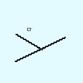 CCCCCCCCCCCCCCCCC[CH2][Sn+]([CH2]CCCCCCCCCCCCCCCCC)[CH2]CCCCCCCCCCCCCCCCC.[Cl-]